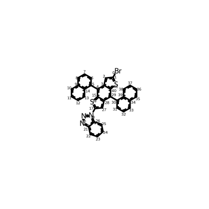 Brc1cc2c(-c3cccc4ccccc34)c3sc(-n4nnc5ccccc54)cc3c(-c3cccc4ccccc34)c2s1